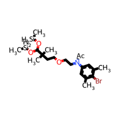 C[SiH2]OC(O[SiH2]C)C(C)(C)CCOCCN(C(C)=O)c1cc(C)c(Br)c(C)c1